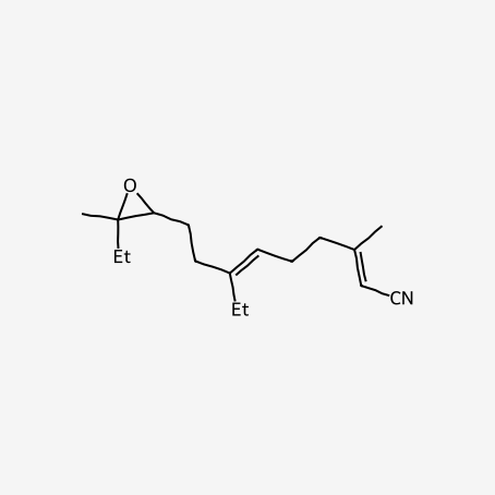 CCC(=CCCC(C)=CC#N)CCC1OC1(C)CC